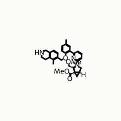 COC[C@H]1N(c2cccc(-c3cc(C)ccc3OCc3ccc4c(c3C)CCNC4)n2)C[C@@H]2C[C@@]21C(=O)OC